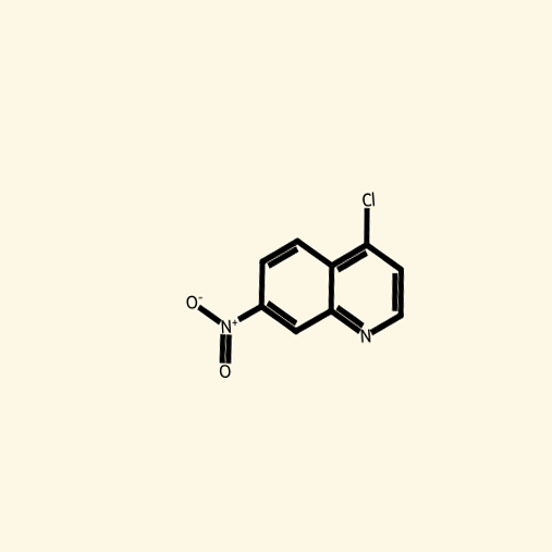 O=[N+]([O-])c1ccc2c(Cl)ccnc2c1